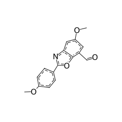 COc1ccc(-c2nc3cc(OC)cc(C=O)c3o2)cc1